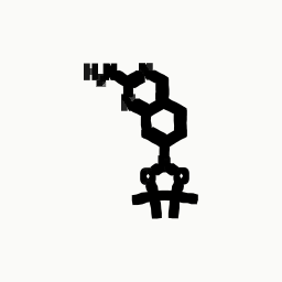 CC1(C)OB(c2ccc3cnc(N)nc3c2)OC1(C)C